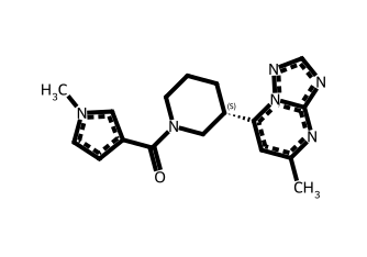 Cc1cc([C@H]2CCCN(C(=O)c3ccn(C)c3)C2)n2ncnc2n1